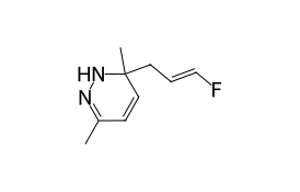 CC1=NNC(C)(C/C=C/F)C=C1